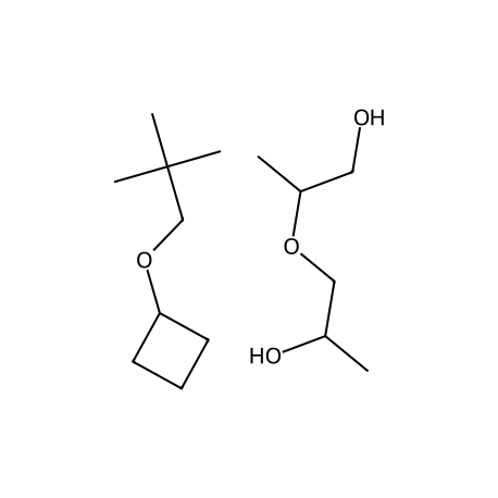 CC(C)(C)COC1CCC1.CC(O)COC(C)CO